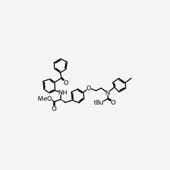 COC(=O)[C@H](Cc1ccc(OCCN(C(=O)C(C)(C)C)c2ccc(C)cc2)cc1)Nc1ccccc1C(=O)c1ccccc1